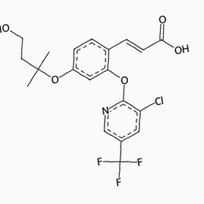 CC(C)(CCO)Oc1ccc(/C=C/C(=O)O)c(Oc2ncc(C(F)(F)F)cc2Cl)c1